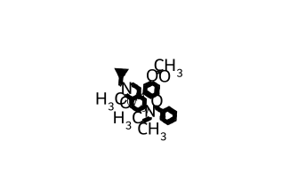 CO[C@]12CC[C@H](N(CC(C)C)C(=O)c3ccccc3)C[C@]1(c1cccc(OC(C)=O)c1)CCN(CC1CC1)C2